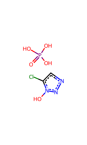 O=P(O)(O)O.On1nncc1Cl